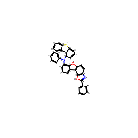 c1ccc(-c2nc3ccc4oc5c(N(c6ccccc6)c6cccc7sc8ccccc8c67)cccc5c4c3o2)cc1